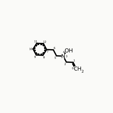 C=CCN(O)CCc1ccccc1